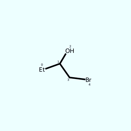 CCC(O)CBr